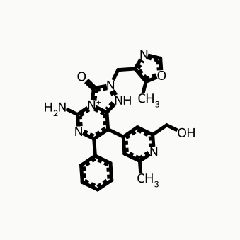 Cc1cc(-c2c(-c3ccccc3)nc(N)[n+]3c(=O)n(Cc4ncoc4C)[nH]c23)cc(CO)n1